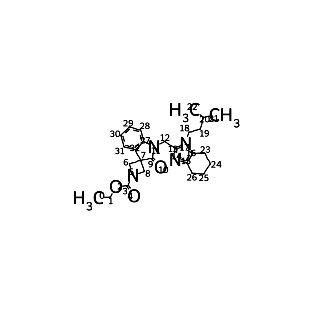 CCOC(=O)N1CC2(C1)C(=O)N(Cc1nc3c(n1CCC(C)C)CCCC3)c1ccccc12